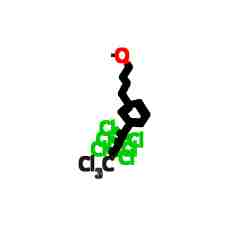 [O]CCCCc1cccc(C(Cl)(Cl)C(Cl)(Cl)C(Cl)(Cl)C(Cl)(Cl)Cl)c1